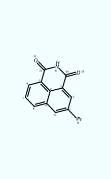 CC(C)c1cc2c3c(cccc3c1)C(=O)NC2=O